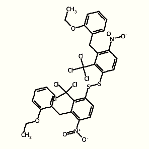 CCOc1ccccc1Cc1c([N+](=O)[O-])ccc(SSc2ccc([N+](=O)[O-])c(Cc3ccccc3OCC)c2C(Cl)(Cl)Cl)c1C(Cl)(Cl)Cl